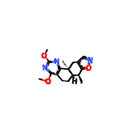 COc1nc(OC)c2c(n1)[C@@]1(C)Cc3cnoc3[C@@H](C)[C@@H]1CC2